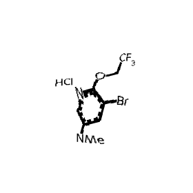 CNc1cnc(OCC(F)(F)F)c(Br)c1.Cl